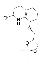 CC1(C)OCC(COC2CCCC3=C2NC(Cl)CC3)O1